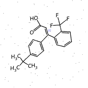 CC(C)(C)c1ccc(/C(=C\C(=O)O)c2ccccc2C(F)(F)F)cc1